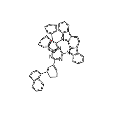 C1=C(c2nc(-c3ccccc3)nc(-n3c4ccccc4c4ccc5c6ccccc6n(-c6ccccc6-c6ccccc6)c5c43)n2)C=C(c2cccc3ccccc23)CC1